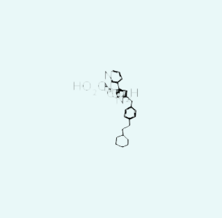 O=C(O)N(C(=O)O)c1ncccc1-c1cc(Cc2ccc(CCC3CCCCC3)cc2)no1